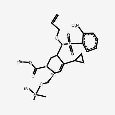 C=CCON(C1CN(C(=O)OC(C)(C)C)[C@H](CO[Si](C)(C)C(C)(C)C)C=C1C1CC1)S(=O)(=O)c1ccccc1[N+](=O)[O-]